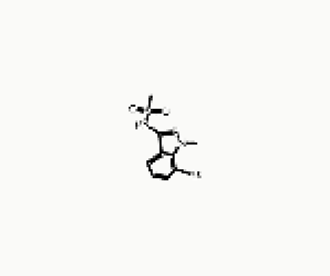 CCc1cccc2c(NS(C)(=O)=O)nn(C)c12